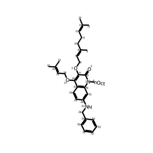 CCCCCCCCn1c(=O)c(OC/C=C(\C)CCC=C(C)C)c(OCC=C(C)C)c2ccc(NCc3ccccc3)cc21